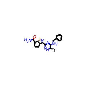 CCc1nnc(C2=NSC3C(C(N)=O)=CC=CC23)nc1NCc1ccccc1